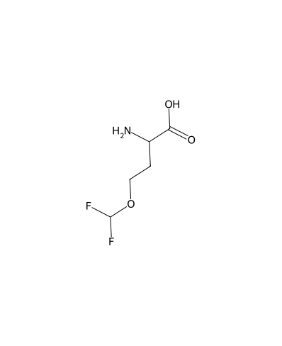 NC(CCOC(F)F)C(=O)O